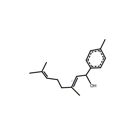 CC(C)=CCC/C(C)=C/C(O)c1ccc(C)cc1